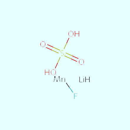 O=S(=O)(O)O.[F][Mn].[LiH]